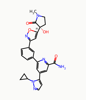 CN1CC[C@@](O)(c2cc(-c3cccc(-c4cc(-c5ccnn5C5CC5)cc(C(N)=O)n4)c3)no2)C1=O